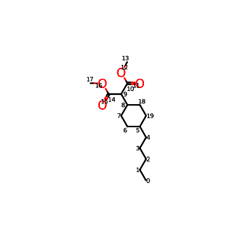 CCCCCC1CCC(C(C(=O)OC)C(=O)OC)CC1